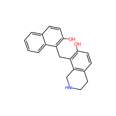 Oc1ccc2c(c1Cc1c(O)ccc3ccccc13)CNCC2